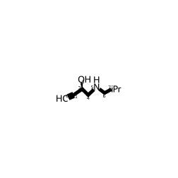 C#C[C@@H](O)CNCC(C)C